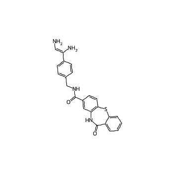 N/C=C(\N)c1ccc(CNC(=O)c2ccc3c(c2)NC(=O)c2ccccc2S3)cc1